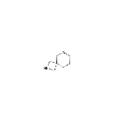 IN1CCCC2(CNC2)C1